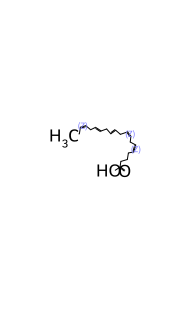 CC/C=C\CC=CCC=CC/C=C\C/C=C\CCCC(=O)O